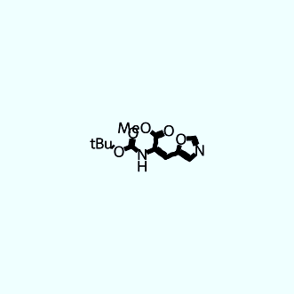 COC(=O)/C(=C\c1cnco1)NC(=O)OC(C)(C)C